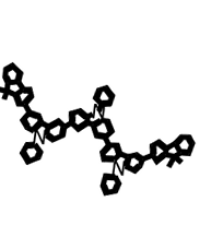 CC1(C)c2ccccc2-c2ccc(-c3ccc4c(c3)c3cc(-c5ccc6c(c5)c5cc(-c7ccc8c(c7)c7cc(-c9ccc%10c(c9)C(C)(C)c9ccccc9-%10)ccc7n8-c7ccccc7)ccc5n6-c5ccccc5)ccc3n4-c3ccccc3)cc21